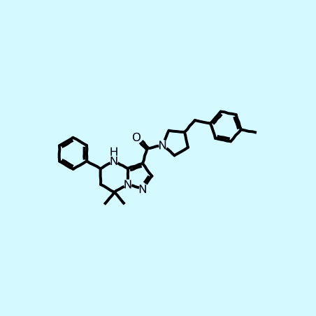 Cc1ccc(CC2CCN(C(=O)c3cnn4c3NC(c3ccccc3)CC4(C)C)C2)cc1